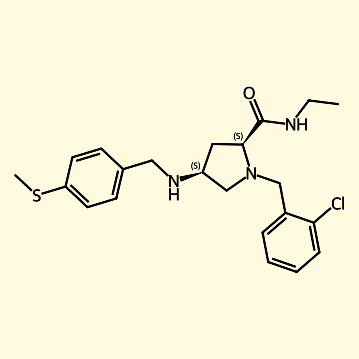 CCNC(=O)[C@@H]1C[C@H](NCc2ccc(SC)cc2)CN1Cc1ccccc1Cl